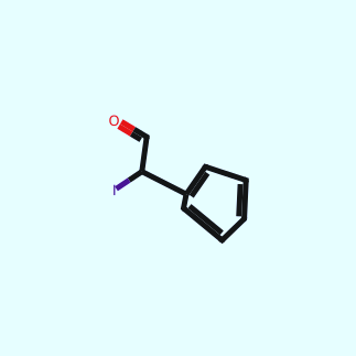 O=CC(I)c1ccccc1